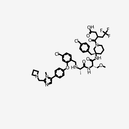 COC[C@H](NC(=O)[C@H](C)NCc1ccc(Cl)cc1Oc1ccc(-c2cnc(CN3CCC3)n2C)cc1)C(=O)N[C@@]1(Cc2ccc(Cl)cc2)CCCN(C(=O)C(CC(=O)O)CC(F)(F)F)C1